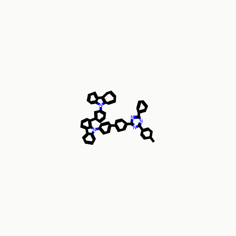 CC1C=CC(c2nc(-c3ccccc3)nc(-c3ccc(-c4ccc(-n5c6ccccc6c6cccc(-c7cccc(-n8c9c(c%10ccccc%108)CC=CC=C9)c7)c65)cc4)cc3)n2)=CC1